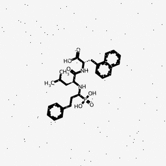 CC(C)C[C@H](NC(CCc1ccccc1)P(=O)(O)O)C(=O)N[C@@H](Cc1cccc2ccccc12)C(=O)O